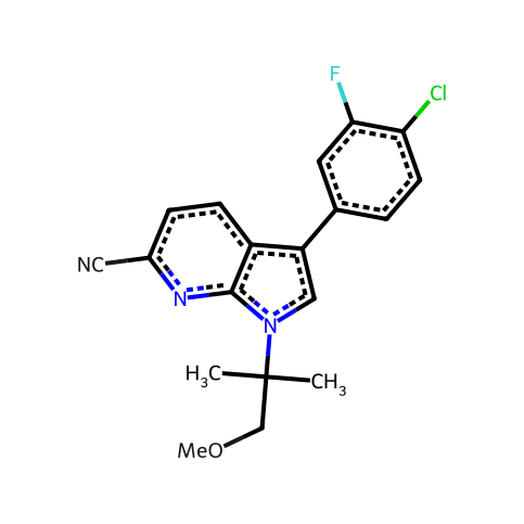 COCC(C)(C)n1cc(-c2ccc(Cl)c(F)c2)c2ccc(C#N)nc21